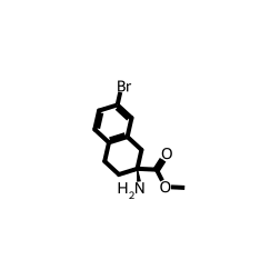 COC(=O)[C@]1(N)CCc2ccc(Br)cc2C1